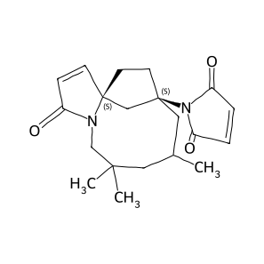 CC1CC(C)(C)CN2C(=O)C=C[C@@]23CC[C@](N2C(=O)C=CC2=O)(C1)C3